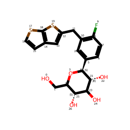 OCC1O[C@@H](c2ccc(F)c(Cc3cc4ccsc4s3)c2)[C@H](O)C(O)[C@@H]1O